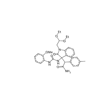 CCOC(CN1C(=O)C(NC(=O)Nc2ccccc2OC)(C(C(N)=O)c2ccc(C)cc2)c2ccccc21)OCC